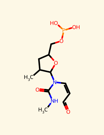 CNC(=O)N(/C=C\C=O)C1OC(COP(O)O)CC1C